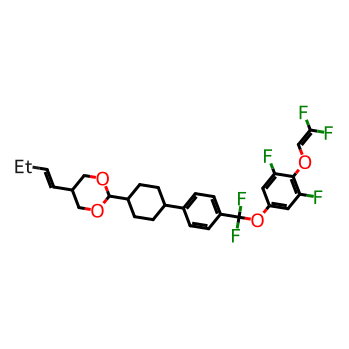 CC/C=C/C1COC(C2CCC(c3ccc(C(F)(F)Oc4cc(F)c(OC=C(F)F)c(F)c4)cc3)CC2)OC1